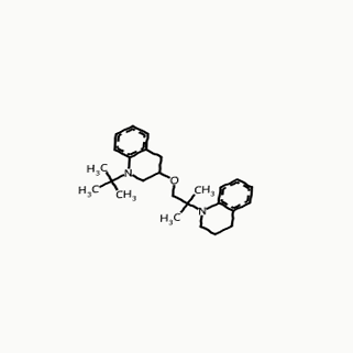 CC(C)(C)N1CC(OCC(C)(C)N2CCCc3ccccc32)Cc2ccccc21